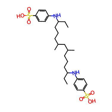 CCC(CCCC(C)CC(C)CCCC(CC)Nc1ccc(S(=O)(=O)O)cc1)Nc1ccc(S(=O)(=O)O)cc1